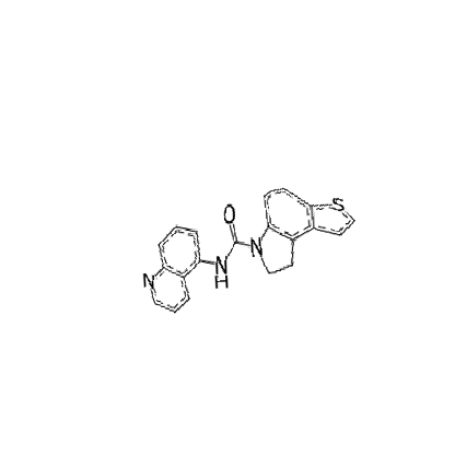 O=C(Nc1cccc2ncccc12)N1CCc2c1ccc1sccc21